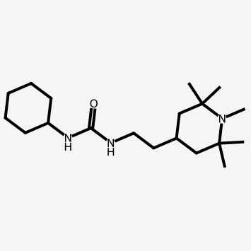 CN1C(C)(C)CC(CCNC(=O)NC2CCCCC2)CC1(C)C